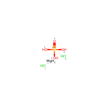 Cl.Cl.O=P(O)(O)O.[MgH2]